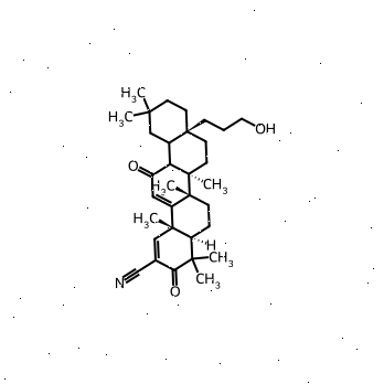 CC1(C)CC[C@]2(CCCO)CC[C@]3(C)C(C(=O)C=C4[C@@]5(C)C=C(C#N)C(=O)C(C)(C)[C@@H]5CC[C@]43C)C2C1